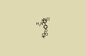 CC(C)(C)OC(=O)COc1ccc(-c2cc(Cl)nnc2N)cc1